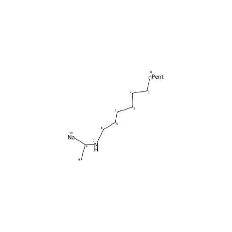 CCCCCCCCCCCN[CH](C)[Na]